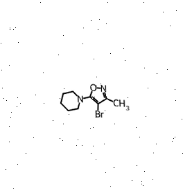 Cc1noc(N2CCCCC2)c1Br